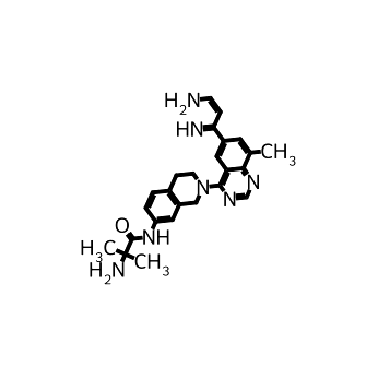 Cc1cc(C(=N)/C=C\N)cc2c(N3CCc4ccc(NC(=O)C(C)(C)N)cc4C3)ncnc12